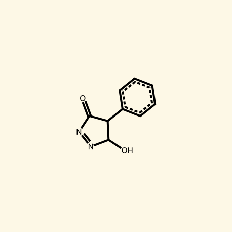 O=C1N=NC(O)C1c1ccccc1